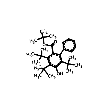 CC(C)(C)OC(=O)c1c(-c2ccccc2)c(C(C)(C)C)c(O)c(C(C)(C)C)c1C(C)(C)C